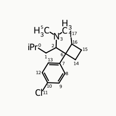 CC(C)CC(N(C)C)C1(c2ccc(Cl)cc2)CCC1I